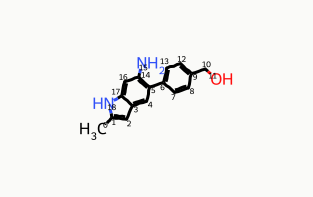 Cc1cc2cc(-c3ccc(CO)cc3)c(N)cc2[nH]1